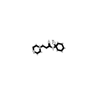 CC1(OC(=O)CCN2CCOCC2)CCCCC1